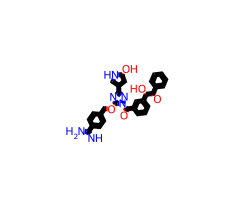 N=C(N)c1ccc(COc2nc(C3CNC(O)C3)nn2C(=O)c2cccc(C(O)C(=O)c3ccccc3)c2)cc1